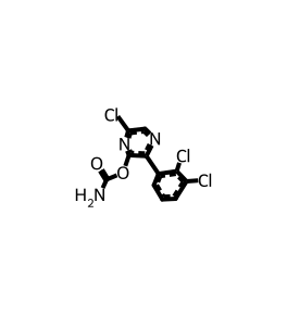 NC(=O)Oc1nc(Cl)cnc1-c1cccc(Cl)c1Cl